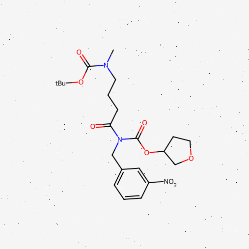 CN(CCCC(=O)N(Cc1cccc([N+](=O)[O-])c1)C(=O)OC1CCOC1)C(=O)OC(C)(C)C